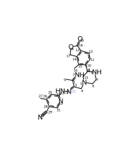 CC(=N)/C(CN1CCN[C@H](c2ccc3c(c2C)COC3=O)C1)=N\Nc1cc(C)c(C#N)cn1